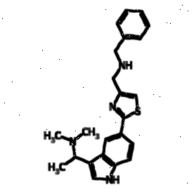 CC(c1c[nH]c2ccc(-c3nc(CNCc4ccccc4)cs3)cc12)N(C)C